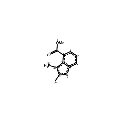 COC(=O)c1cccc2nc(C)n(P)c12